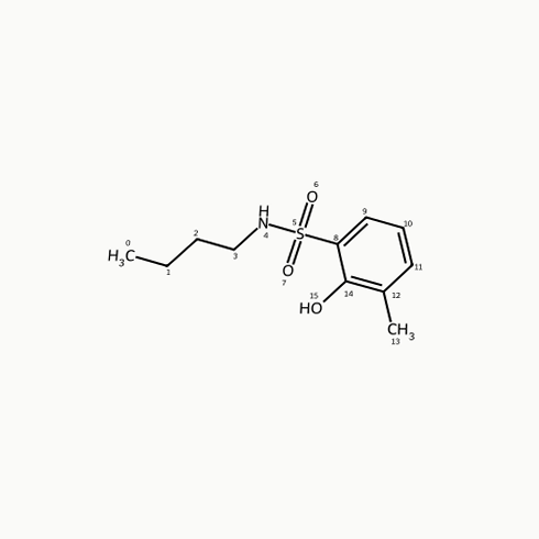 CCCCNS(=O)(=O)c1cccc(C)c1O